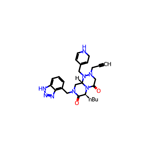 C#CCN1CC(=O)N2[C@@H](CCCC)C(=O)N(Cc3cccc4[nH]nnc34)C[C@@H]2N1CC1=CCNC=C1